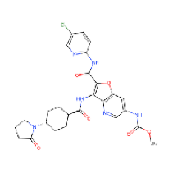 CC(C)(C)OC(=O)Nc1cnc2c(NC(=O)[C@H]3CC[C@H](N4CCCC4=O)CC3)c(C(=O)Nc3ccc(Cl)cn3)oc2c1